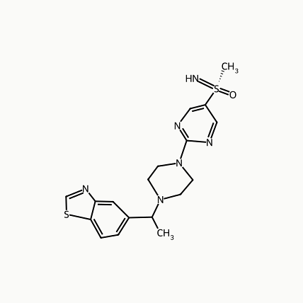 CC(c1ccc2scnc2c1)N1CCN(c2ncc([S@@](C)(=N)=O)cn2)CC1